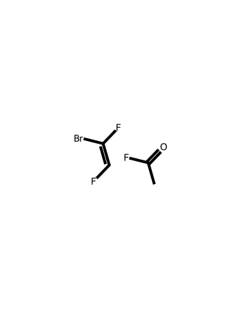 CC(=O)F.FC=C(F)Br